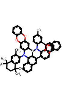 Cc1cc2c(cc1N1c3cc4c(cc3B3c5c(cc6ccccc6c51)-c1ccc5c(oc6ccccc65)c1N3c1ccc(C(C)(C)C)cc1-c1ccccc1)Oc1ccccc1O4)C(C)(C)CCC2(C)C